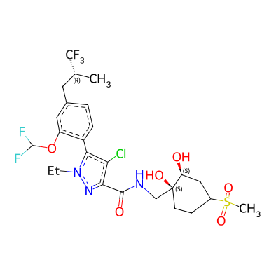 CCn1nc(C(=O)NC[C@@]2(O)CCC(S(C)(=O)=O)C[C@@H]2O)c(Cl)c1-c1ccc(C[C@@H](C)C(F)(F)F)cc1OC(F)F